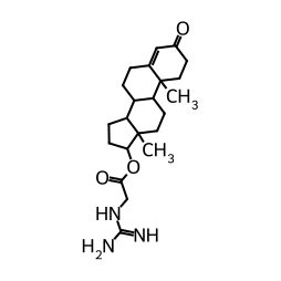 CC12CCC(=O)C=C1CCC1C2CCC2(C)C(OC(=O)CNC(=N)N)CCC12